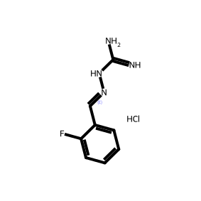 Cl.N=C(N)N/N=C/c1ccccc1F